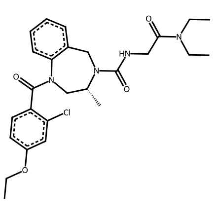 CCOc1ccc(C(=O)N2C[C@@H](C)N(C(=O)NCC(=O)N(CC)CC)Cc3ccccc32)c(Cl)c1